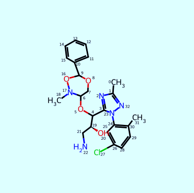 Cc1nc(C(OC2COC(c3ccccc3)ON2C)[C@@H](O)CN)n(-c2cc(Cl)ccc2C)n1